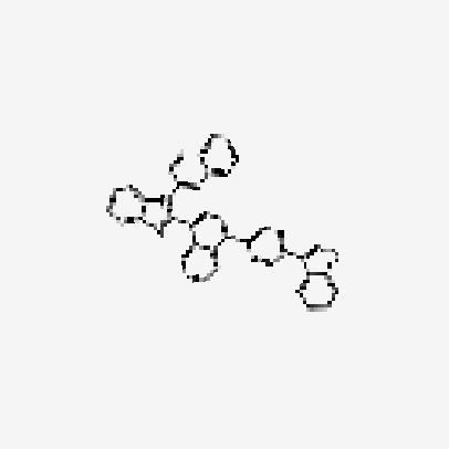 c1ccc2cc(-n3c(-c4ccc(-c5ccc(-c6coc7ccccc67)cc5)c5ccccc45)nc4ccccc43)ccc2c1